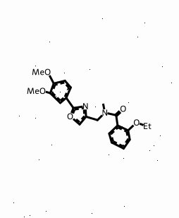 CCOc1ccccc1C(=O)N(C)Cc1coc(-c2ccc(OC)c(OC)c2)n1